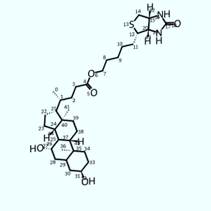 C[C@H](CCC(=O)OCCCCC[C@@H]1SC[C@@H]2NC(=O)N[C@@H]21)[C@H]1CC[C@H]2C3[C@@H](O)CC4C[C@H](O)CC[C@]4(C)[C@H]3CC[C@]12C